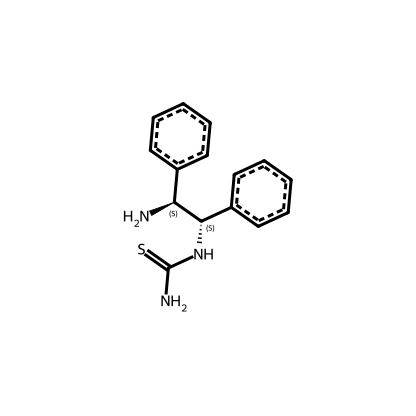 NC(=S)N[C@@H](c1ccccc1)[C@@H](N)c1ccccc1